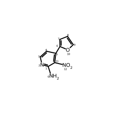 Nc1nccc(-c2ccco2)c1[N+](=O)[O-]